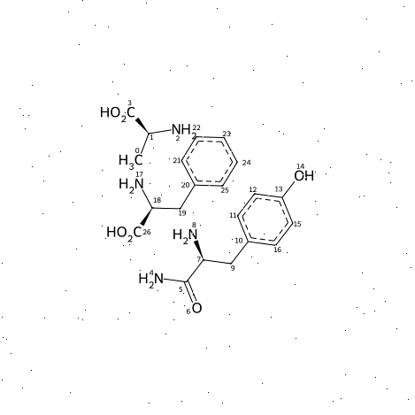 C[C@H](N)C(=O)O.NC(=O)[C@@H](N)Cc1ccc(O)cc1.N[C@@H](Cc1ccccc1)C(=O)O